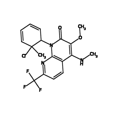 CNc1c(OC)c(=O)n(C2C=CC=CC2(C)Cl)c2nc(C(F)(F)F)ccc12